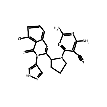 N#Cc1c(N)nc(N)nc1N1CCCC1c1nc2cccc(Cl)c2c(=O)n1-c1cn[nH]c1